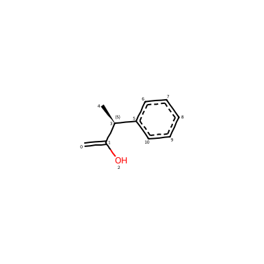 C=C(O)[C@@H](C)c1ccccc1